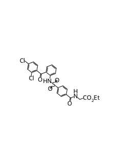 CCOC(=O)CNC(=O)c1ccc(S(=O)(=O)Nc2ccccc2C(=O)c2ccc(Cl)cc2Cl)cc1